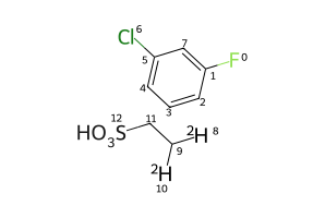 Fc1cccc(Cl)c1.[2H]C([2H])CS(=O)(=O)O